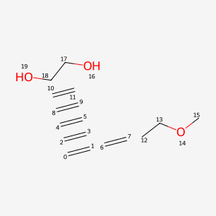 C=C.C=C.C=C.C=C.C=C.C=C.CCOC.OCCO